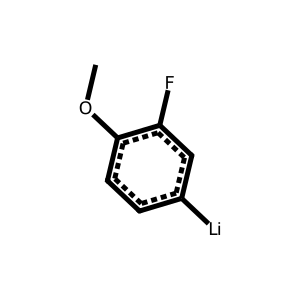 [Li][c]1ccc(OC)c(F)c1